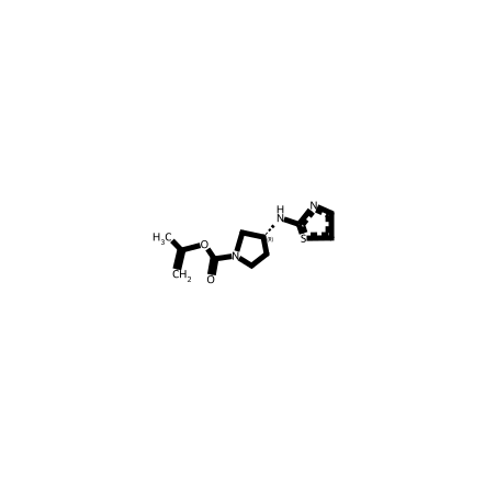 C=C(C)OC(=O)N1CC[C@@H](Nc2nccs2)C1